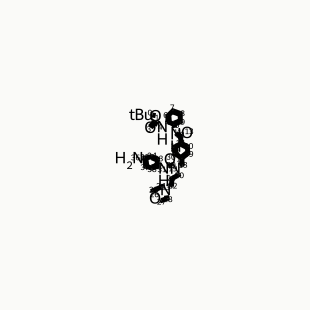 CC(C)(C)OC(=O)Nc1ccccc1NC(=O)c1ccc(CN(CCCN2CCOCC2)C(=O)Nc2ccc(N)cc2)cc1